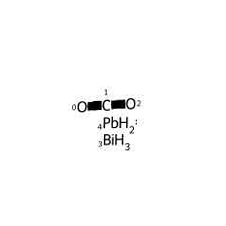 O=C=O.[BiH3].[PbH2]